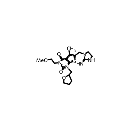 COCCn1c(=O)c2c(C)c(CN3CCNC3=N)sc2n(CC2CCCO2)c1=O